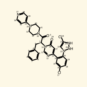 O=C([C@H](Cc1ccccc1)n1cnc(-c2cc(Cl)ccc2N2C=C(Cl)NN2)cc1=O)N1CCN(c2ccncc2)CC1